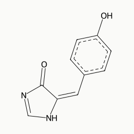 O=C1N=CNC1=Cc1ccc(O)cc1